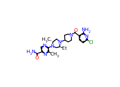 CC[C@H]1CN(c2ncc(C(N)=O)nc2C)[C@H](C)CN1C1CCN(C(=O)c2ccc(Cl)nc2N)CC1